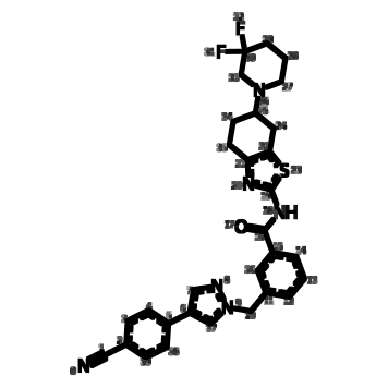 N#Cc1ccc(-c2cnn(Cc3cccc(C(=O)Nc4nc5c(s4)CC(N4CCCC(F)(F)C4)CC5)c3)c2)cc1